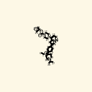 CCOC1(c2ccc(C3=CN4N=CC=C(N5CCN(C(=O)OC6COC6)CC5)C4C3)cc2)CCN(C(C)C)CC1